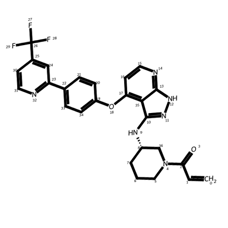 C=CC(=O)N1CCC[C@H](Nc2n[nH]c3nccc(Oc4ccc(-c5cc(C(F)(F)F)ccn5)cc4)c23)C1